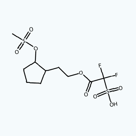 CS(=O)(=O)OC1CCCC1CCOC(=O)C(F)(F)S(=O)(=O)O